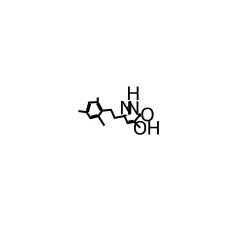 Cc1cc(C)c(CCc2cc(O)c(=O)[nH]n2)c(C)c1